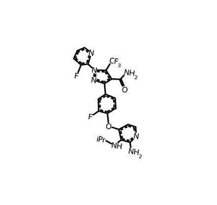 CC(C)Nc1c(Oc2ccc(-c3nn(-c4ncccc4F)c(C(F)(F)F)c3C(N)=O)cc2F)ccnc1N